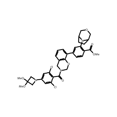 COC(=O)c1ccc(-c2cccc3c2OCN(C(=O)c2c(Cl)cc(N4CC(OC)(OC)C4)cc2Cl)C3)cc1N1C2CCC1COC2